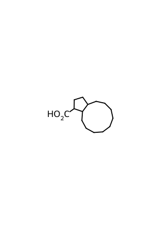 O=C(O)C1CCC2CCCCCCCCCC21